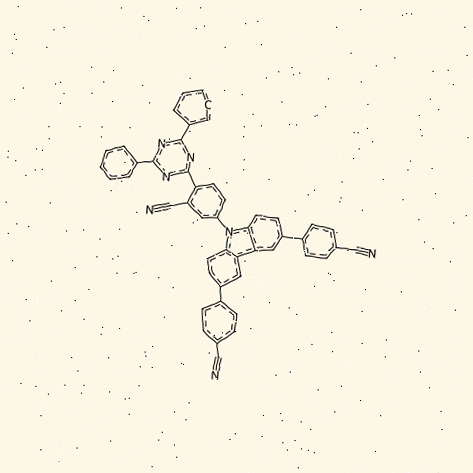 N#Cc1ccc(-c2ccc3c(c2)c2cc(-c4ccc(C#N)cc4)ccc2n3-c2ccc(-c3nc(-c4ccccc4)nc(-c4ccccc4)n3)c(C#N)c2)cc1